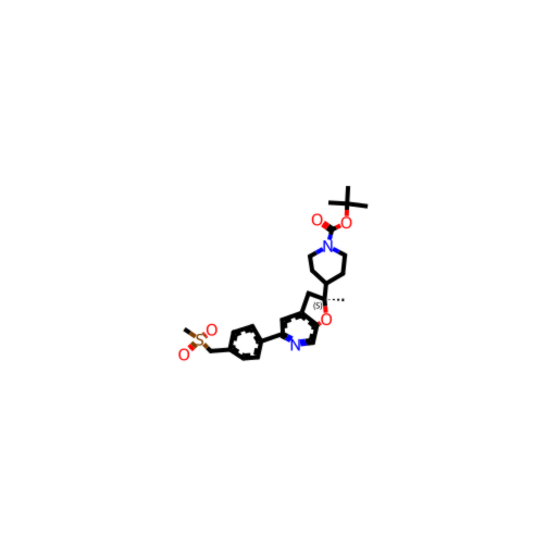 CC(C)(C)OC(=O)N1CCC([C@]2(C)Cc3cc(-c4ccc(CS(C)(=O)=O)cc4)ncc3O2)CC1